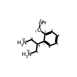 CCCOc1ccccc1C(CN)CN